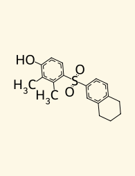 Cc1c(O)ccc(S(=O)(=O)c2ccc3c(c2)CCCC3)c1C